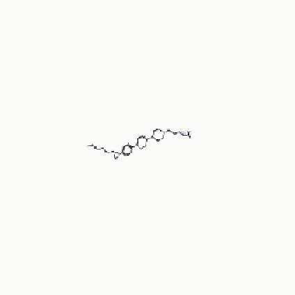 CCCCCCOc1ccc(C2CCC(C3CCC(CC/C=C/F)CC3)CC2)cc1